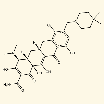 CN(C)[C@@H]1C(O)=C(C(N)=O)C(=O)[C@@]2(O)C(O)=C3C(=O)c4c(O)cc(CN5CCC(C)(C)CC5)c(Cl)c4C[C@H]3C[C@@H]12